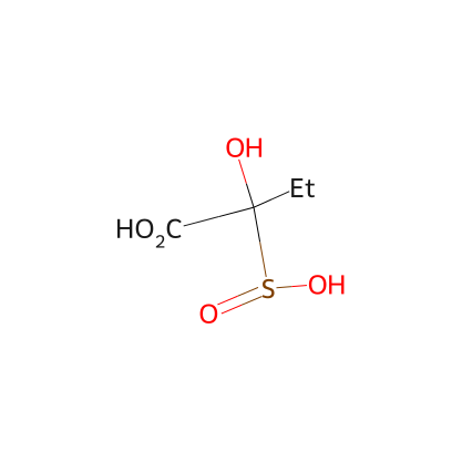 CCC(O)(C(=O)O)S(=O)O